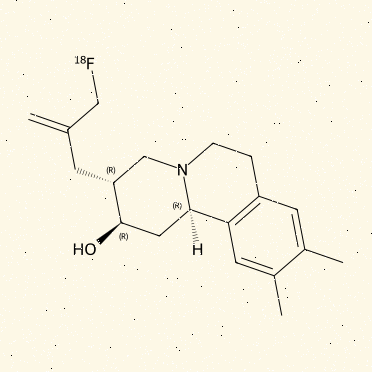 C=C(C[18F])C[C@@H]1CN2CCc3cc(C)c(C)cc3[C@H]2C[C@H]1O